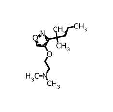 CCCC(C)(C)c1nocc1OCCN(C)C